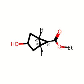 CCOC(=O)[C@H]1[C@@H]2CC(O)C[C@@H]21